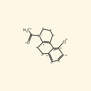 CC(=O)N1CCCC2=C1CCc1cccc(Cl)c12